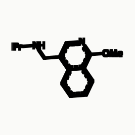 COc1ncc(CNC(C)C)c2ccccc12